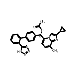 Cc1ccc([C@H](OC(=O)C(C)(C)C)c2ccc(-c3ccccc3-c3nnn[nH]3)cc2)n2cc(C3CC3)nc12